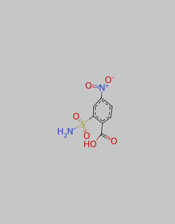 NS(=O)(=O)c1cc([N+](=O)[O-])ccc1C(=O)O